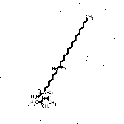 CCCCCCCCCCCCCCCC(=O)NCCCCCCNP(N)(=O)N(C(C)C)C(C)C